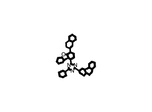 C1=C(c2ccc(-c3nc(-c4ccccc4)nc(-c4ccc5ccc6ccccc6c5c4)n3)c3c2oc2ccccc23)CCc2ccccc21